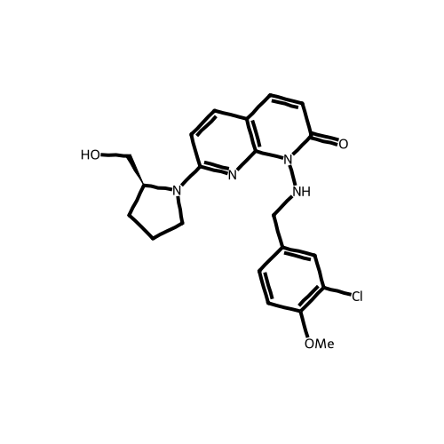 COc1ccc(CNn2c(=O)ccc3ccc(N4CCC[C@H]4CO)nc32)cc1Cl